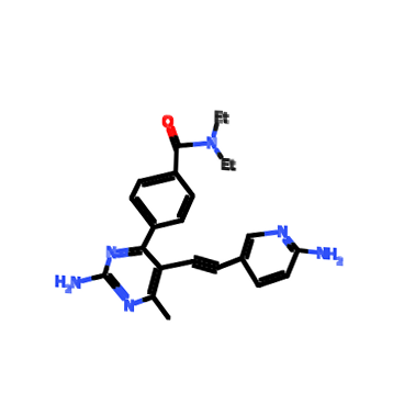 CCN(CC)C(=O)c1ccc(-c2nc(N)nc(C)c2C#Cc2ccc(N)nc2)cc1